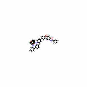 c1ccc(-c2nc3cc4c(cc3o2)oc2ccc(-c3ccc(N(c5ccccc5)c5cccc6c7ccccc7n(-c7ccccc7)c56)cc3)cc24)cc1